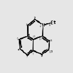 CCN1C=Cc2[c]ccc3cccc1c23